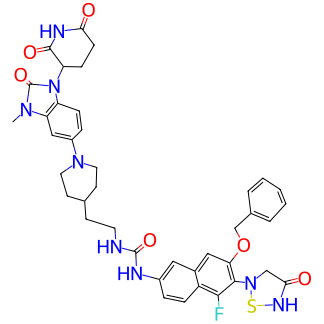 Cn1c(=O)n(C2CCC(=O)NC2=O)c2ccc(N3CCC(CCNC(=O)Nc4ccc5c(F)c(N6CC(=O)NS6)c(OCc6ccccc6)cc5c4)CC3)cc21